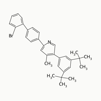 Cc1cc(-c2ccc(-c3ccccc3Br)cc2)ncc1-c1cc(C(C)(C)C)cc(C(C)(C)C)c1